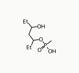 CCC(O)CC(CC)OP(C)(=O)O